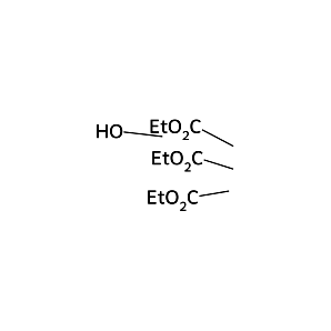 CCOC(C)=O.CCOC(C)=O.CCOC(C)=O.CO